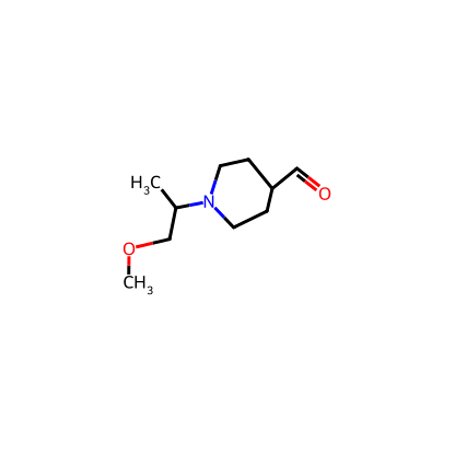 COCC(C)N1CCC(C=O)CC1